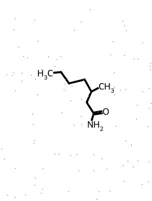 CCCCC(C)CC(N)=O